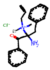 C=CC[N+](C)(CC)C(N)(Cc1ccccc1)C(=O)c1ccccc1.[Cl-]